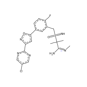 C/N=C(/N)C(C)(C)S(=N)(=O)Cc1cc(-c2cc(-c3ncc(Cl)cn3)no2)ccc1F